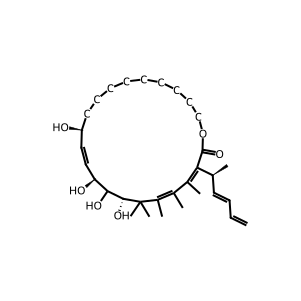 C=CC=C[C@H](C)C1=C(C)C(C)=C(C)C(C)(C)[C@H](O)C(O)[C@@H](O)C=C[C@@H](O)CCCCCCCCCOC1=O